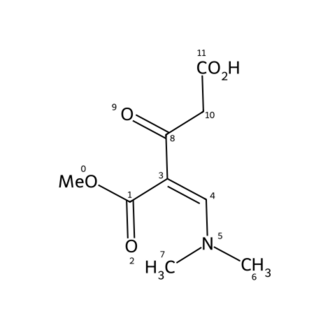 COC(=O)/C(=C\N(C)C)C(=O)CC(=O)O